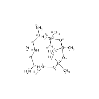 C[SiH2]O[Si](C)(C)O[Si](C)(C)O[Si](C)(C)C.NCCNCCN.[Pt]